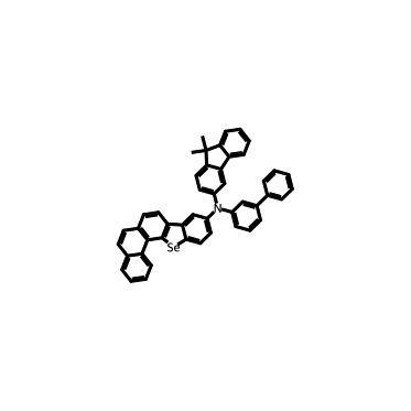 CC1(C)c2ccccc2-c2cc(N(c3cccc(-c4ccccc4)c3)c3ccc4[se]c5c(ccc6ccc7ccccc7c65)c4c3)ccc21